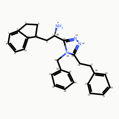 N[C@H](CC1CCc2ccccc21)c1nnc(CCc2ccccc2)n1Cc1ccccc1